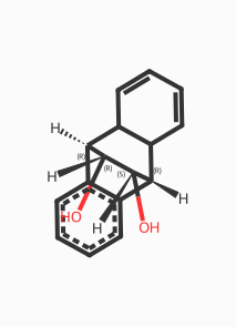 O[C@@H]1[C@H](O)[C@H]2c3ccccc3[C@H]1C1C=CC=CC12